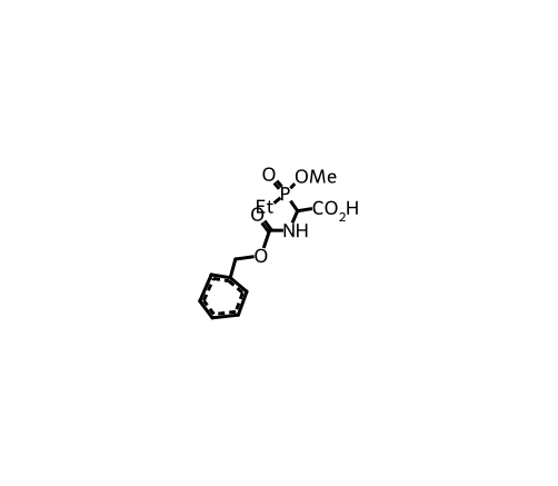 CCP(=O)(OC)C(NC(=O)OCc1ccccc1)C(=O)O